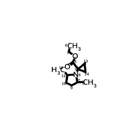 CCOC(=O)C1(N2C(C)CCC2C)CC1